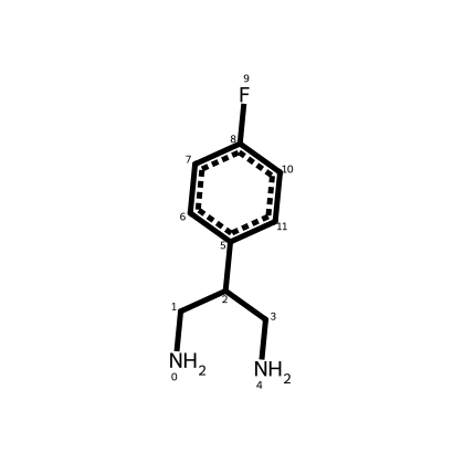 NCC(CN)c1ccc(F)cc1